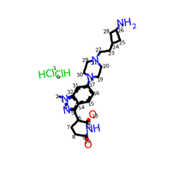 Cl.Cl.Cn1nc(C2CCC(=O)NC2=O)c2ccc(N3CCN(CCC4CC(N)C4)CC3)cc21